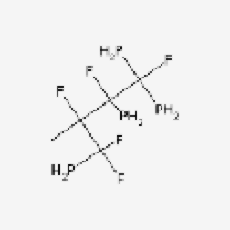 CC(F)(C(F)(F)P)C(F)(P)C(F)(P)P